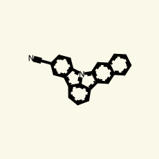 N#Cc1ccc2c(c1)c1cccc3c4cc5ccccc5cc4n2c13